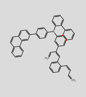 C=C/C=C\c1ccccc1/C=C(\C=C)c1cccc(N(c2ccc(-c3ccc4ccc5ccccc5c4c3)cc2)c2ccccc2-c2ccccc2)c1